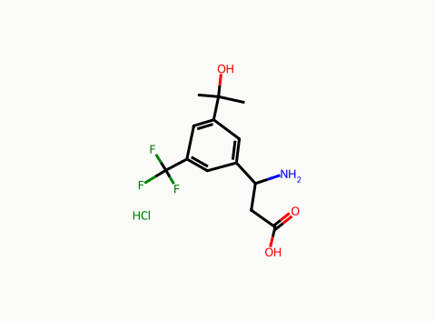 CC(C)(O)c1cc(C(N)CC(=O)O)cc(C(F)(F)F)c1.Cl